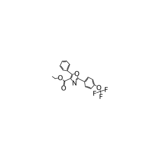 CCOC(=O)c1nc(-c2ccc(OC(F)(F)F)cc2)oc1-c1ccccc1